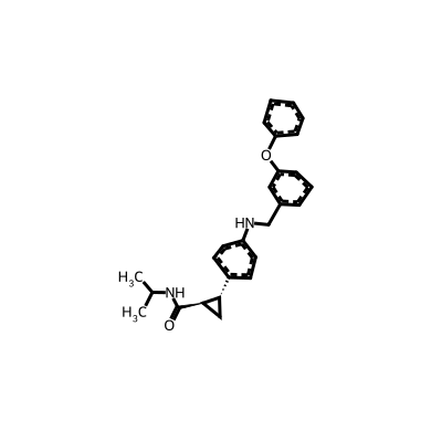 CC(C)NC(=O)[C@@H]1C[C@H]1c1ccc(NCc2cccc(Oc3ccccc3)c2)cc1